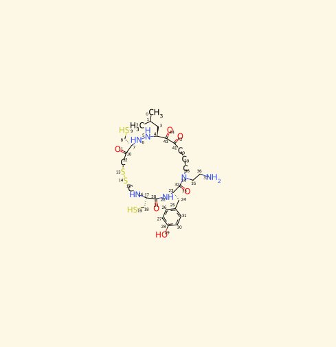 CC(C)C[C@@H]1NN[C@@H](CS)C(=O)CSSCN[C@@H](CS)C(=O)N[C@@H](Cc2ccc(O)cc2)C(=O)N(CCN)CCCC(=O)C1=O